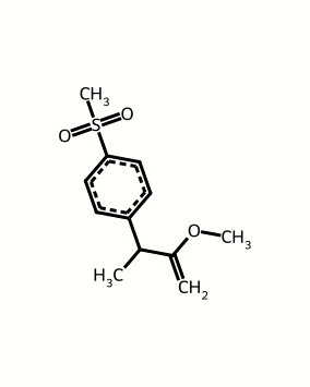 C=C(OC)C(C)c1ccc(S(C)(=O)=O)cc1